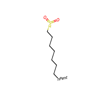 CCCCCCCCCCCC[SH](=O)=O